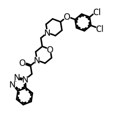 O=C(Cn1nnc2ccccc21)N1CCOC(CN2CCC(Oc3ccc(Cl)c(Cl)c3)CC2)C1